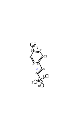 O=S(=O)(Cl)/C=C/c1ccc(C(F)(F)F)cc1